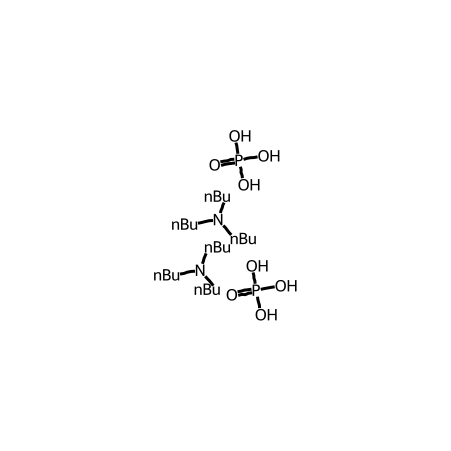 CCCCN(CCCC)CCCC.CCCCN(CCCC)CCCC.O=P(O)(O)O.O=P(O)(O)O